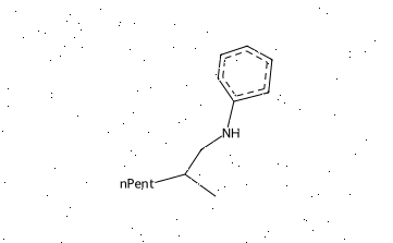 CCCCCC(C)CNc1ccccc1